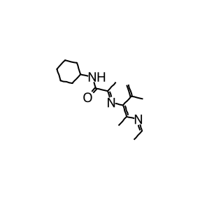 C=C(C)C(/N=C(\C)C(=O)NC1CCCCC1)=C(C)\N=C/C